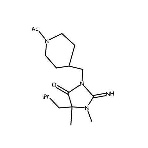 CC(=O)N1CCC(CN2C(=N)N(C)C(C)(CC(C)C)C2=O)CC1